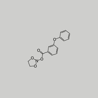 O=C(ON1OCCO1)c1cccc(Oc2ccccc2)c1